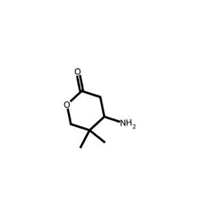 CC1(C)COC(=O)CC1N